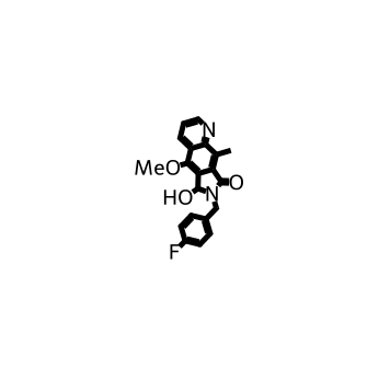 COc1c2c(c(C)c3ncccc13)C(=O)N(Cc1ccc(F)cc1)C2O